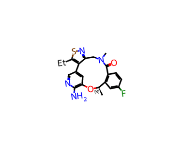 CCc1snc2c1-c1cnc(N)c(c1)O[C@H](C)c1cc(F)ccc1C(=O)N(C)C2